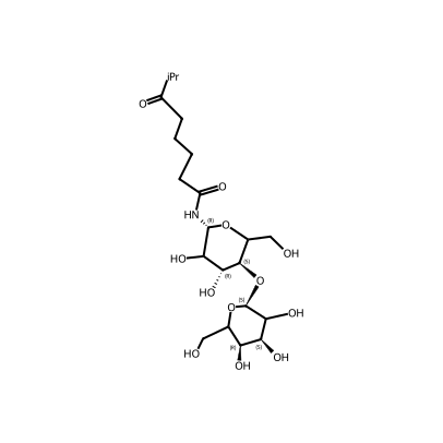 CC(C)C(=O)CCCCC(=O)N[C@@H]1OC(CO)[C@@H](O[C@@H]2OC(CO)[C@H](O)[C@H](O)C2O)[C@H](O)C1O